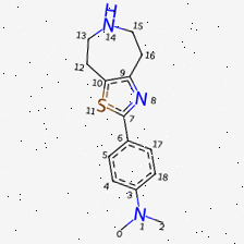 CN(C)c1ccc(-c2nc3c(s2)CCNCC3)cc1